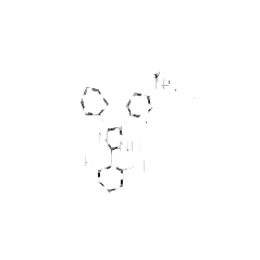 N[N+](=O)c1[c]nc(-c2[nH]c(-c3c(Cl)cccc3Cl)nc2-c2ccccc2)cc1